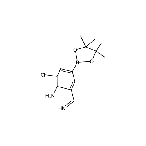 CC1(C)OB(c2cc(Cl)c(N)c(C=N)c2)OC1(C)C